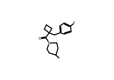 CC1CCN(C(=O)C2(Cc3ccc(F)cc3)CCC2)CC1